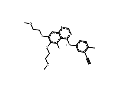 C#Cc1cc(Nc2ncnc3cc(OCCOC)c(OCCOC)c(F)c23)ccc1F